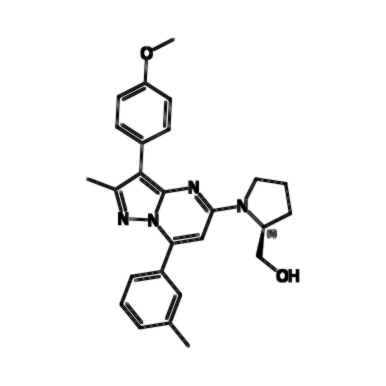 COc1ccc(-c2c(C)nn3c(-c4cccc(C)c4)cc(N4CCC[C@H]4CO)nc23)cc1